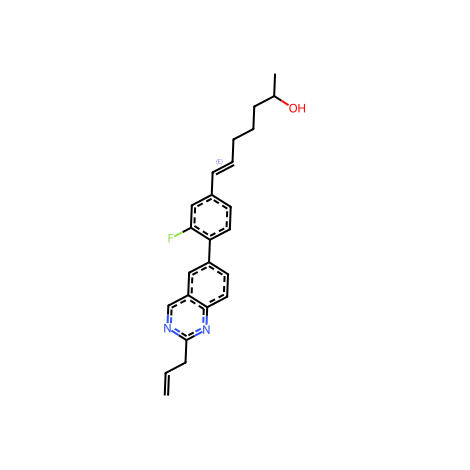 C=CCc1ncc2cc(-c3ccc(/C=C/CCCC(C)O)cc3F)ccc2n1